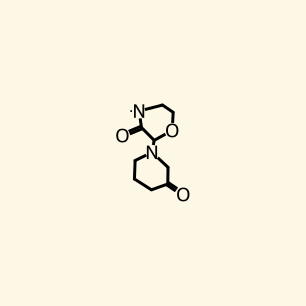 O=C1CCCN(C2OCC[N]C2=O)C1